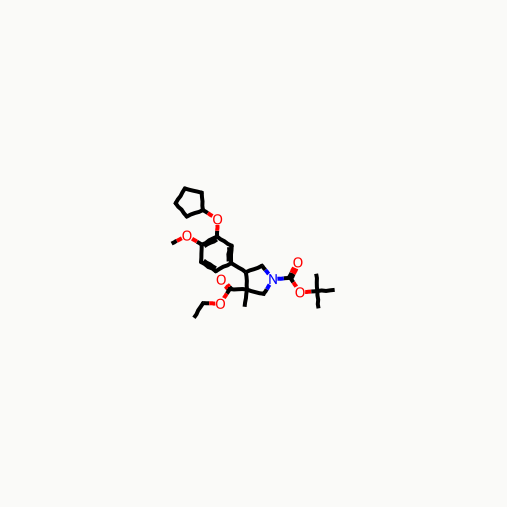 CCOC(=O)C1(C)CN(C(=O)OC(C)(C)C)CC1c1ccc(OC)c(OC2CCCC2)c1